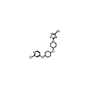 CC(C)c1noc(N2CCC(OC3CCC(Oc4ccnc(Cl)c4)CC3)CC2)n1